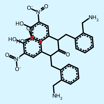 NCc1ccccc1CC(C(=O)C(Cc1ccccc1CN)c1cc(O)c(O)c([N+](=O)[O-])c1)c1cc(O)c(O)c([N+](=O)[O-])c1